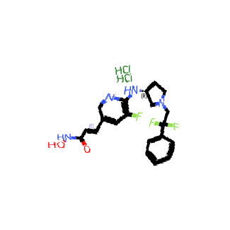 Cl.Cl.O=C(/C=C/c1cnc(N[C@@H]2CCN(CC(F)(F)c3ccccc3)C2)c(F)c1)NO